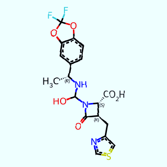 C[C@@H](NC(O)N1C(=O)[C@H](Cc2cscn2)[C@H]1C(=O)O)c1ccc2c(c1)OC(F)(F)O2